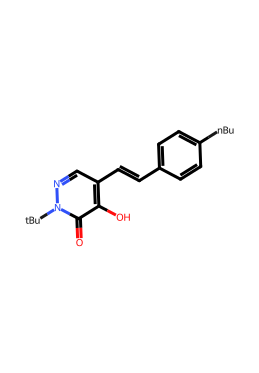 CCCCc1ccc(/C=C/c2cnn(C(C)(C)C)c(=O)c2O)cc1